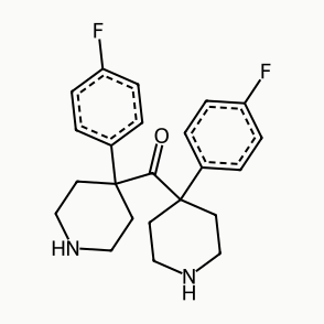 O=C(C1(c2ccc(F)cc2)CCNCC1)C1(c2ccc(F)cc2)CCNCC1